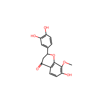 COc1c(O)ccc2c1OC(c1ccc(O)c(O)c1)CC2=O